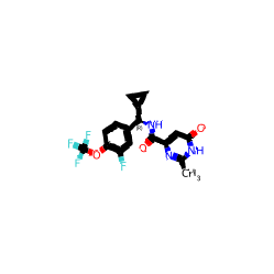 Cc1nc(C(=O)N[C@@H](c2ccc(OC(F)(F)F)c(F)c2)C2CC2)cc(=O)[nH]1